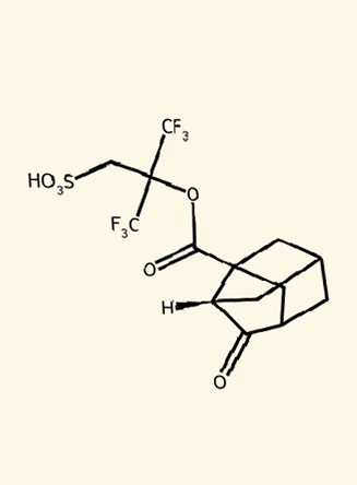 O=C1C2CC3C[C@H]1C(C(=O)OC(CS(=O)(=O)O)(C(F)(F)F)C(F)(F)F)(C3)C2